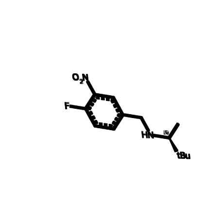 C[C@H](NCc1ccc(F)c([N+](=O)[O-])c1)C(C)(C)C